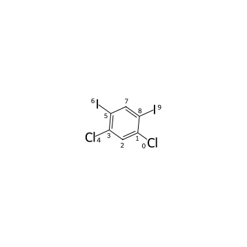 Clc1cc(Cl)c(I)cc1I